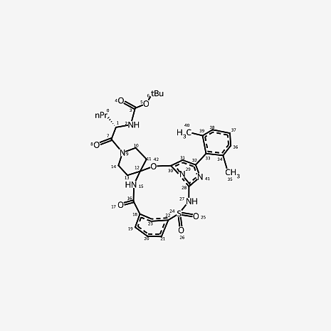 CCC[C@H](NC(=O)OC(C)(C)C)C(=O)N1CCC2(CC1)NC(=O)c1cccc(c1)S(=O)(=O)Nc1nc(cc(-c3c(C)cccc3C)n1)O2